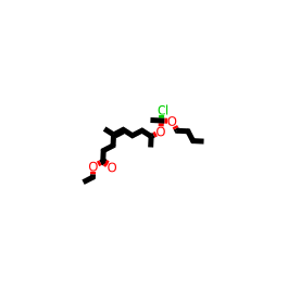 CCCCOC(C)(Cl)OC(C)CCC=C(C)CCC(=O)OCC